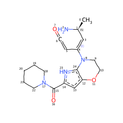 C[C@H](N)/C=C(\C=C=O)N1CCOc2cc(C(=O)N3CCCCC3)[nH]c21